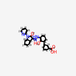 O=C(O)c1cccc(-c2cccc(NN=C3C(=O)N(c4ccccn4)c4ccccc43)c2O)c1